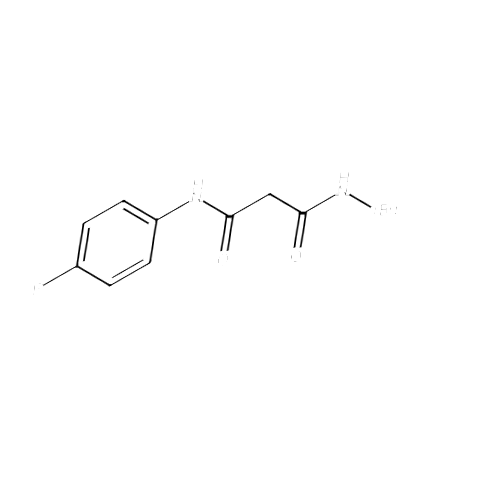 CC(C)(C)NC(=O)CC(=O)Nc1ccc(F)cc1